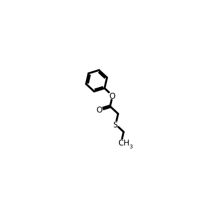 CCSCC(=O)Oc1ccccc1